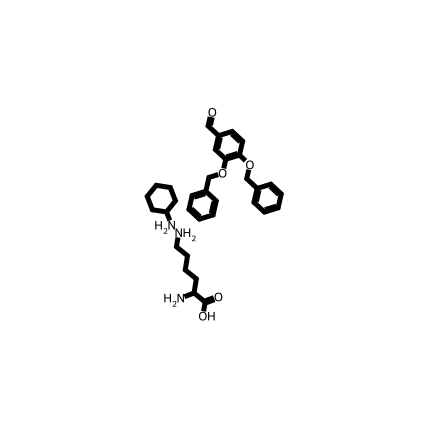 NC1CCCCC1.NCCCCC(N)C(=O)O.O=Cc1ccc(OCc2ccccc2)c(OCc2ccccc2)c1